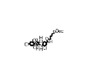 CCCCCCCCCCCCCCCC(=O)Nc1ccc(Nc2[nH]n(-c3c(Cl)cc(Cl)cc3Cl)c(=O)c2O)c(Cl)c1